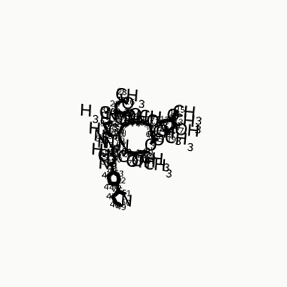 CC[C@H]1OC(=O)[C@H](C)[C@@H](O[C@H]2C[C@@](C)(OC)[C@@H](O)[C@H](C)O2)[C@H](C)[C@@H](O[C@@H]2O[C@H](C)C[C@H](N(C)CCc3cn(CC4CC(c5ccc(-c6cccnc6)cc5)=NO4)nn3)[C@H]2O)[C@](C)(O)C[C@@H](C)CN(C)[C@H](C)[C@@H](O)[C@]1(C)O